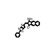 N=C1/C(=C/c2cc3sc(-c4ccccc4)nc3s2)C(=O)c2cc3ccccc3cc21